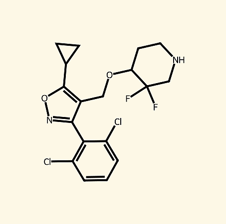 FC1(F)CNCCC1OCc1c(-c2c(Cl)cccc2Cl)noc1C1CC1